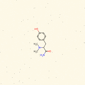 CN(C)C(Cc1ccc(O)cc1)C(N)=O